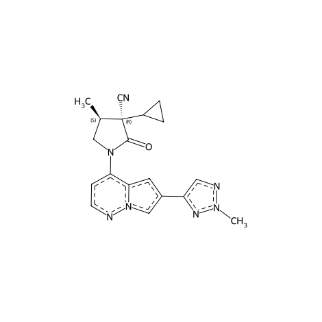 C[C@@H]1CN(c2ccnn3cc(-c4cnn(C)n4)cc23)C(=O)[C@]1(C#N)C1CC1